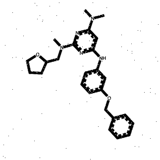 CN(C)c1cc(Nc2cccc(OCc3ccccc3)c2)nc(N(C)CC2CCCO2)n1